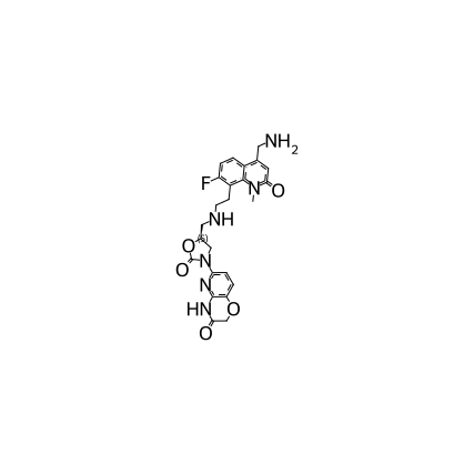 Cn1c(=O)cc(CN)c2ccc(F)c(CCNC[C@H]3CN(c4ccc5c(n4)NC(=O)CO5)C(=O)O3)c21